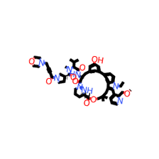 CCn1c(-c2cccnc2COC)c2c3cc(ccc31)-c1cc(O)cc(c1)C[C@H](NC(=O)C(C(C)C)N(C)C(=O)[C@H]1CCN(C(=O)C#CCN3CCOCC3)C1)C(=O)N1CCC[C@H](N1)C(=O)OCC(C)(C)C2